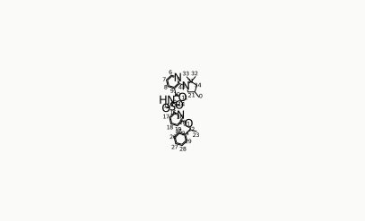 CC1CN(c2ncccc2C(=O)NS(=O)(=O)c2cccc(OC(C)c3ccccc3)n2)C(C)(C)C1